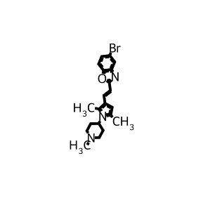 Cc1cc(C=Cc2nc3cc(Br)ccc3o2)c(C)n1C1CCN(C)CC1